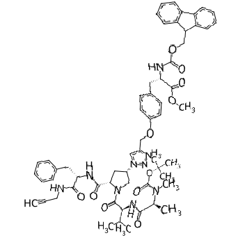 C#CCNC(=O)[C@H](Cc1ccccc1)NC(=O)[C@@H]1C[C@H](n2cc(COc3ccc(C[C@H](NC(=O)OCC4c5ccccc5-c5ccccc54)C(=O)OC)cc3)nn2)CN1C(=O)[C@@H](NC(=O)[C@H](C)N(C)C(=O)OC(C)(C)C)C(C)C